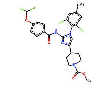 COc1cc(F)c(-n2cc(C3CCN(C(=O)OC(C)(C)C)CC3)nc2NC(=O)c2ccc(OC(F)F)cc2)c(F)c1